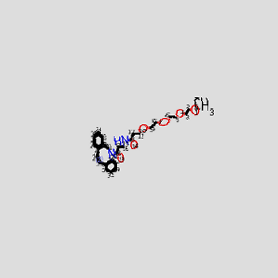 COCCOCCOCCOCCC(=O)NCCC(=O)N1Cc2ccccc2/C=C\c2ccccc21